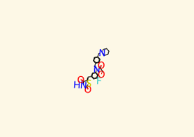 O=C1NC(=O)/C(=C/c2cc(F)c3c(c2)N(Cc2ccc(CN4CCCCC4)cc2)C(=O)CO3)S1